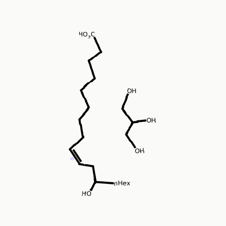 CCCCCCC(O)C/C=C\CCCCCCCC(=O)O.OCC(O)CO